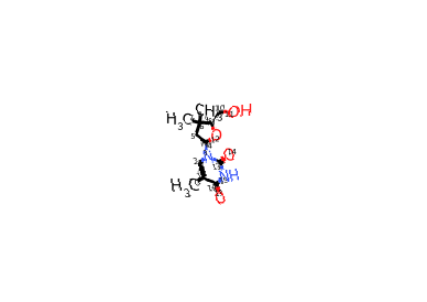 Cc1cn([C@H]2CC(C)(C)[C@@H](CO)O2)c(=O)[nH]c1=O